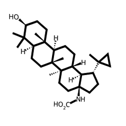 CC1([C@@H]2CC[C@]3(NC(=O)O)CC[C@]4(C)[C@H](CC[C@@H]5[C@@]6(C)CC[C@H](O)C(C)(C)[C@@H]6CC[C@]54C)[C@@H]23)CC1